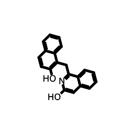 Oc1cc2ccccc2c(Cc2c(O)ccc3ccccc23)n1